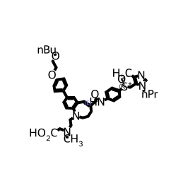 CCCCOCCOc1ccc(-c2ccc3c(c2)/C=C(/C(=O)Nc2ccc([S@@+]([O-])Cc4c(C)ncn4CCC)cc2)CCCN3CCN(C)CC(=O)O)cc1